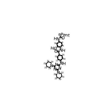 CCCCCC(=O)Nc1ccc(NC(=O)c2ccc(Nc3nc(N4CCCCC4)nc(N4CCCCC4)n3)cc2)c(O)c1